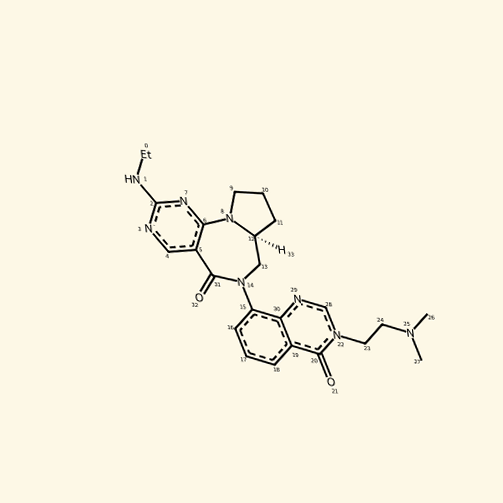 CCNc1ncc2c(n1)N1CCC[C@H]1CN(c1cccc3c(=O)n(CCN(C)C)cnc13)C2=O